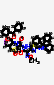 CO/N=C(/C(=O)NC1C(=O)N2C(C(=O)OC(c3ccccc3)c3ccccc3)=C(CI)C[S+]([O-])[C@H]12)c1csc(NC(c2ccccc2)(c2ccccc2)c2ccccc2)n1